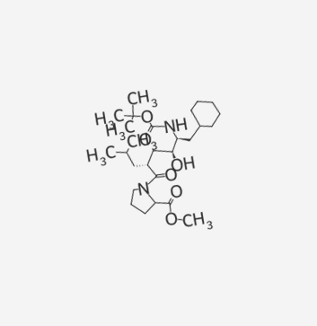 COC(=O)C1CCCN1C(=O)[C@H](CC(C)C)C[C@H](O)[C@H](CC1CCCCC1)NC(=O)OC(C)(C)C